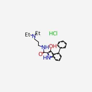 CCN(CC)CCCNC(=O)c1[nH]c2cccc(-c3ccccc3)c2c1O.Cl